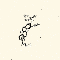 COc1cc2c(cc1O[Si](C(C)C)(C(C)C)C(C)C)CC[C@@H]1[C@@H]2CC[C@]2(C)[C@@H]([C@H](C)COC(C)=O)CC[C@@H]12